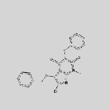 Cn1c(=O)n(Cc2ccccc2)c(=O)c2c1nc(Br)n2OCc1ccccc1